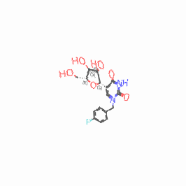 O=c1[nH]c(=O)n(Cc2ccc(F)cc2)cc1[C@@H]1O[C@H](CO)[C@@H](O)[C@H]1O